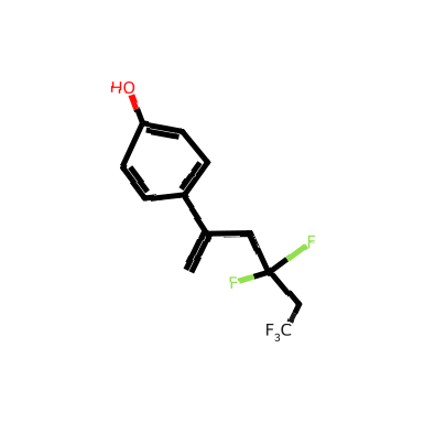 C=C(CC(F)(F)CC(F)(F)F)c1ccc(O)cc1